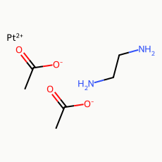 CC(=O)[O-].CC(=O)[O-].NCCN.[Pt+2]